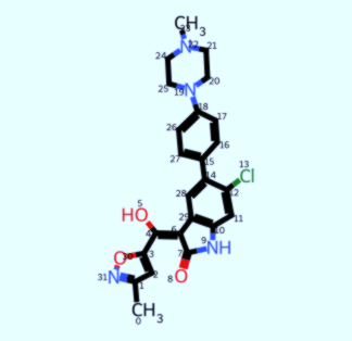 Cc1cc(/C(O)=C2\C(=O)Nc3cc(Cl)c(-c4ccc(N5CCN(C)CC5)cc4)cc32)on1